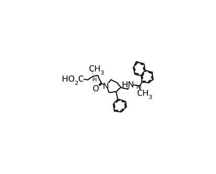 C[C@@H](CC(=O)O)CC(=O)N1CCC(CN[C@H](C)c2cccc3ccccc23)C(c2ccccc2)C1